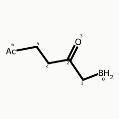 BCC(=O)CCC(C)=O